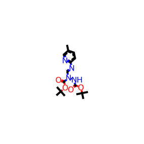 Cc1ccc(N=CN(NC(=O)OC(C)(C)C)C(=O)OC(C)(C)C)nc1